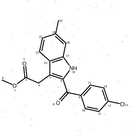 COC(=O)Cc1c(C(=O)c2ccc(Cl)cc2)[nH]c2cc(C)ccc12